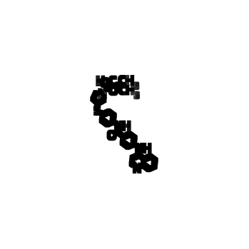 CC(C)(C)OC(=O)N1CCC(Sc2ccc(NC(=O)c3ccc(Nc4ccnc5ccccc45)cc3)cc2)C1